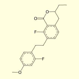 CCC1Cc2ccc(CCc3ccc(OC)cc3F)c(F)c2C(=O)O1